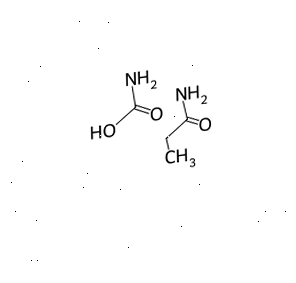 CCC(N)=O.NC(=O)O